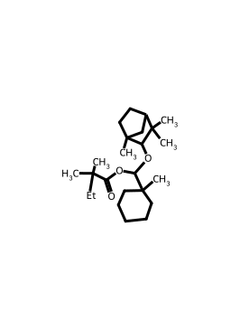 CCC(C)(C)C(=O)OC(OC1C2(C)CCC(C2)C1(C)C)C1(C)CCCCC1